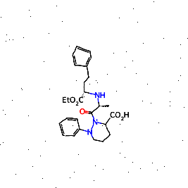 CCOC(=O)[C@H](CCc1ccccc1)N[C@@H](C)C(=O)N1C(C(=O)O)CCCN1c1ccccc1